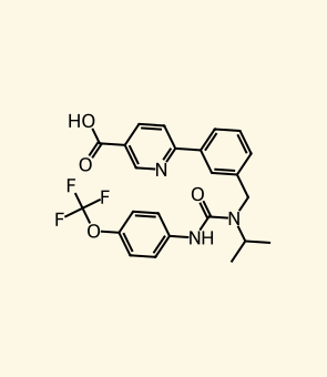 CC(C)N(Cc1cccc(-c2ccc(C(=O)O)cn2)c1)C(=O)Nc1ccc(OC(F)(F)F)cc1